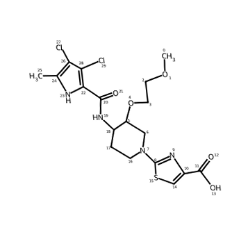 COCCOC1CN(c2nc(C(=O)O)cs2)CCC1NC(=O)c1[nH]c(C)c(Cl)c1Cl